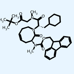 CN(CC(=O)OC(C)(C)C)C(=O)[C@H](CC1CCCCC1)N1CC/C=C\C[C@H](N(C)C(=O)OCC2c3ccccc3-c3ccccc32)C1=O